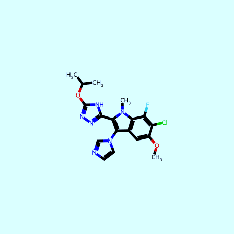 COc1cc2c(-n3ccnc3)c(-c3nnc(OC(C)C)[nH]3)n(C)c2c(F)c1Cl